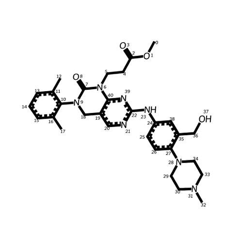 COC(=O)CCN1C(=O)N(c2c(C)cccc2C)Cc2cnc(Nc3ccc(N4CCN(C)CC4)c(CO)c3)nc21